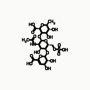 CC(=O)N[C@H]1[C@@H](OC2[C@@H](C(=O)O)O[C@@H](C)[C@H](O)[C@H]2O)O[C@H](COS(=O)(=O)O)[C@@H](O[C@@H]2OC(C(=O)O)=C[C@H](O)[C@H]2O)[C@@H]1O